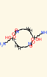 C[C@@H]1[C@@H]2/C=C\C[C@@H](C(C)(C)[C@@H](O)/C=C/CCN)OC(=O)c3coc(n3)/C=C\C=C\[C@@H]3C[C@@H]3/C=C\C[C@@H](C(C)(C)[C@@H](O)/C=C/CCN)OC(=O)c3coc(n3)/C=C\C=C\[C@H]12